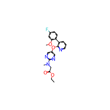 CCOC(=O)CN(C)c1ncc(Oc2ncccc2-c2ccc(F)cc2OC)cn1